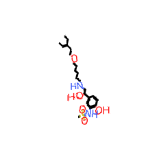 CCC(CC)CCOCCCCCCNCC(O)c1ccc(O)c(NS(C)(=O)=O)c1